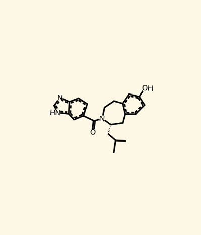 CC(C)C[C@H]1Cc2ccc(O)cc2CCN1C(=O)c1ccc2nc[nH]c2c1